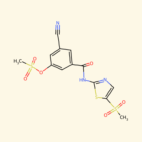 CS(=O)(=O)Oc1cc(C#N)cc(C(=O)Nc2ncc(S(C)(=O)=O)s2)c1